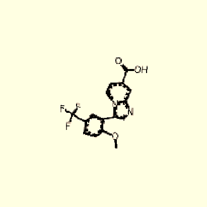 COc1ccc(C(F)(F)F)cc1-c1cnc2cc(C(=O)O)ccn12